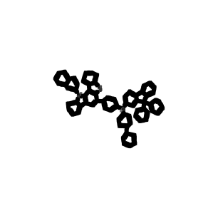 c1ccc(-c2ccc(N(c3ccc(-c4cc5c6ccccc6n(-c6ccc7ccccc7c6)c5c5c4sc4ccccc45)cc3)c3ccc4c(c3)C(c3ccccc3)(c3ccccc3)c3ccccc3-4)cc2)cc1